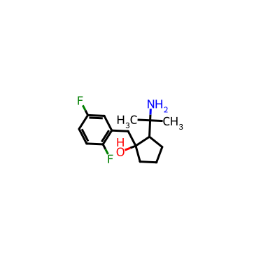 CC(C)(N)C1CCCC1(O)Cc1cc(F)ccc1F